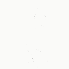 COC(C)N(C)c1ncc(C(C)C(=O)C(C)c2cnc(N(C)C(C)OC)nc2)cn1